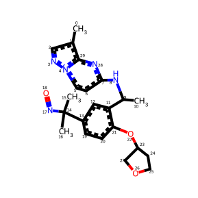 Cc1cnn2ccc(NC(C)c3cc(C(C)(C)N=O)ccc3OC3CCOC3)nc12